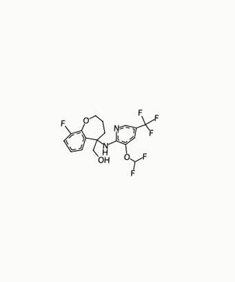 OCC1(Nc2ncc(C(F)(F)F)cc2OC(F)F)CCCOc2c(F)cccc21